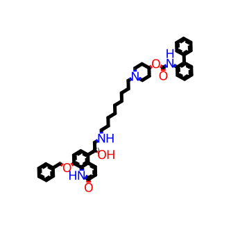 O=C(Nc1ccccc1-c1ccccc1)OC1CCN(CCCCCCCCCNC[C@@H](O)c2ccc(OCc3ccccc3)c3[nH]c(=O)ccc23)CC1